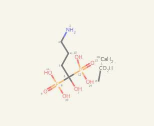 CC(=O)O.NCCCC(O)(P(=O)(O)O)P(=O)(O)O.[CaH2]